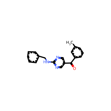 Cc1cccc(C(=O)c2cnc(NCc3ccccc3)nc2)c1